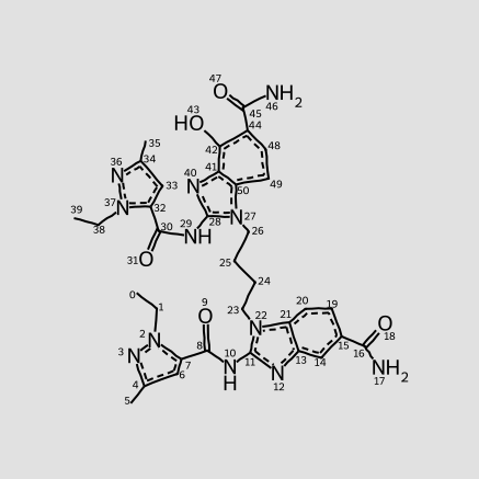 CCn1nc(C)cc1C(=O)Nc1nc2cc(C(N)=O)ccc2n1CCCCn1c(NC(=O)c2cc(C)nn2CC)nc2c(O)c(C(N)=O)ccc21